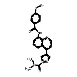 CC(C)Oc1ccc(C(=O)Nc2cccc3c(-c4cnn(C(=O)N(C)C)c4)ccnc23)cc1